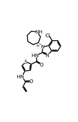 C=CC(=O)Nc1csc(C(=O)Nc2nc3cccc(Cl)c3n2[C@@H]2CCCCNC2)c1